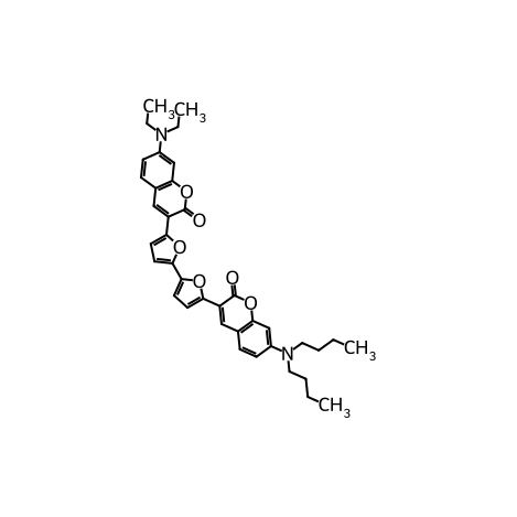 CCCCN(CCCC)c1ccc2cc(-c3ccc(-c4ccc(-c5cc6ccc(N(CC)CC)cc6oc5=O)o4)o3)c(=O)oc2c1